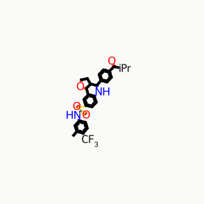 Cc1cc(NS(=O)(=O)c2ccc3c(c2)C2OCCC2C(c2ccc(C(=O)C(C)C)cc2)N3)ccc1C(F)(F)F